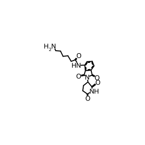 NCCCCCC(=O)Nc1cccc2c1C(=O)N(C1CCC(=O)NC1=O)C2=O